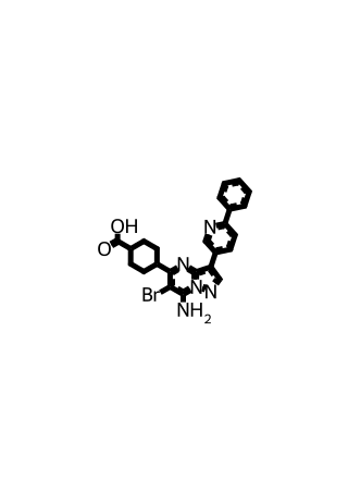 Nc1c(Br)c(C2CCC(C(=O)O)CC2)nc2c(-c3ccc(-c4ccccc4)nc3)cnn12